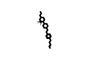 C/C=C/CCc1ccc(CCC2CCC(C3CCC(CCC)CC3(F)F)CC2)cc1